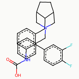 O=C(O)Nc1cccc(CC2C3CCC2CN(Cc2ccccc2)C3)c1-c1ccc(F)c(F)c1